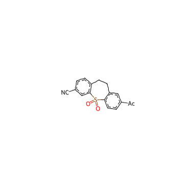 CC(=O)c1ccc2c(c1)CCc1ccc(C#N)cc1S2(=O)=O